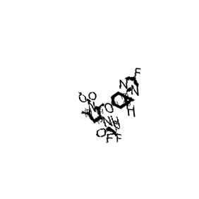 COC(=O)N1[C@H](C)C[C@H](NC(=O)C(F)(F)F)[C@@H]1CO[C@@H]1CC[C@@]2(c3ncc(F)cn3)C[C@H]2C1